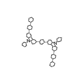 c1ccc(-c2ccc(-c3ccc4c(c3)c3cc(-c5ccc(-c6ccc7c(c6)c6cc(-c8ccc(-c9ccccc9)cc8)ccc6n7-c6ccccc6)cc5)ccc3n4-c3ccccc3)cc2)cc1